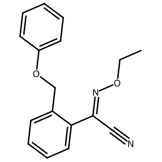 CCON=C(C#N)c1ccccc1COc1ccccc1